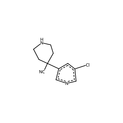 N#CC1(c2cncc(Cl)c2)CCNCC1